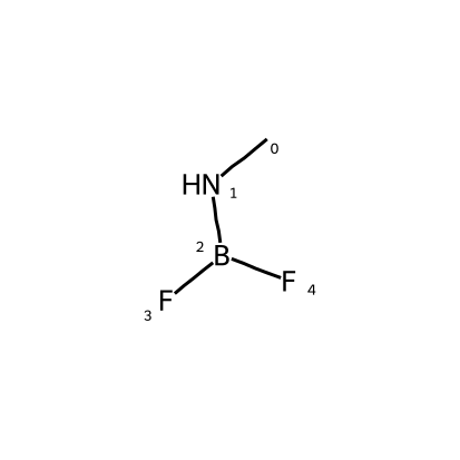 CNB(F)F